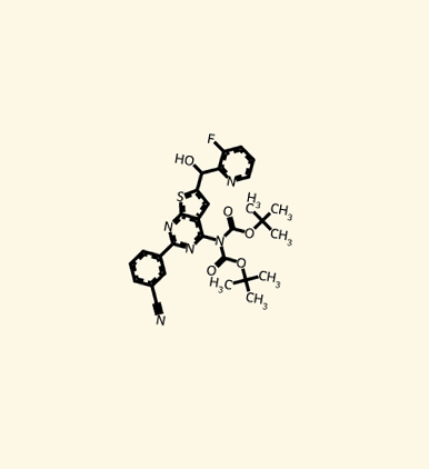 CC(C)(C)OC(=O)N(C(=O)OC(C)(C)C)c1nc(-c2cccc(C#N)c2)nc2sc(C(O)c3ncccc3F)cc12